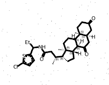 CCC(NC(=O)C[C@@H](C)[C@H]1CC[C@H]2[C@@H]3C(=O)C[C@@H]4CC(=O)CC[C@]4(C)[C@H]3CC[C@]12C)c1ccc(Cl)s1